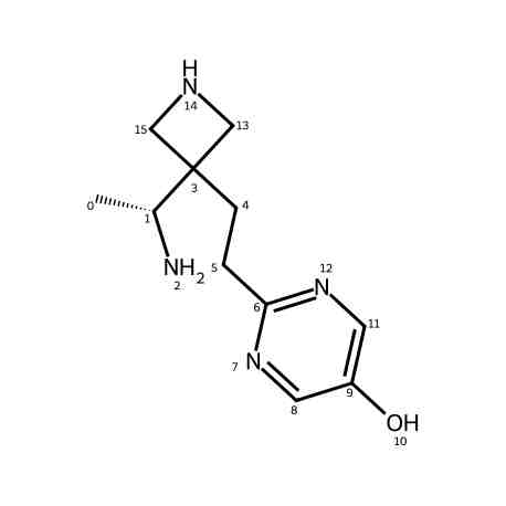 C[C@@H](N)C1(CCc2ncc(O)cn2)CNC1